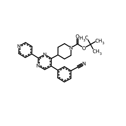 CC(C)(C)OC(=O)N1CCC(c2nc(-c3ccncc3)ncc2-c2cccc(C#N)c2)CC1